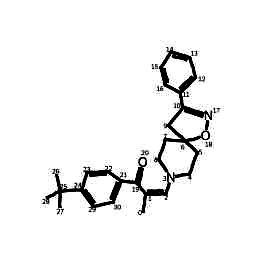 CC(=CN1CCC2(CC1)CC(c1ccccc1)=NO2)C(=O)c1ccc(C(C)(C)C)cc1